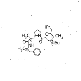 CC[C@H](C)[C@@H](CCC(=O)N1CCC[C@H]1C[C@@H](C)C(=O)N[C@H](C)Cc1ccccc1)N(C)C(=O)CC(C)C